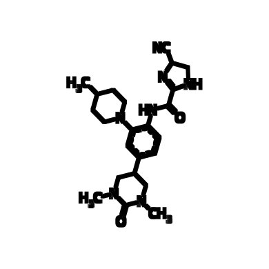 CC1CCN(c2cc(C3CN(C)C(=O)N(C)C3)ccc2NC(=O)C2=NC(C#N)CN2)CC1